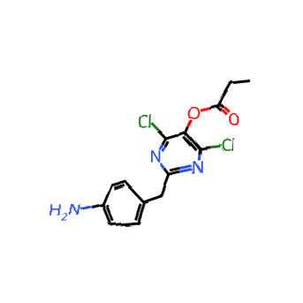 CCC(=O)Oc1c(Cl)nc(Cc2ccc(N)cc2)nc1Cl